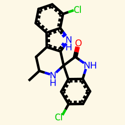 CC1Cc2c([nH]c3c(Cl)cccc23)C2(N1)C(=O)Nc1ccc(Cl)cc12